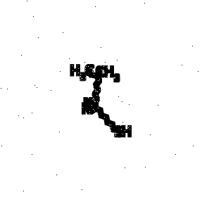 CCC(C)CCCCCn1nncc1CCCCCCS